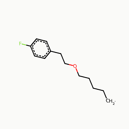 [CH2]CCCCOCCc1ccc(F)cc1